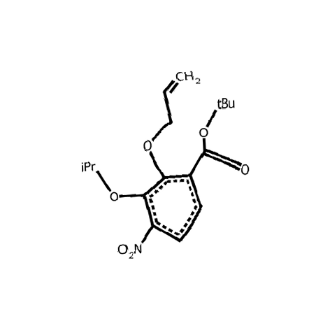 C=CCOc1c(C(=O)OC(C)(C)C)ccc([N+](=O)[O-])c1OC(C)C